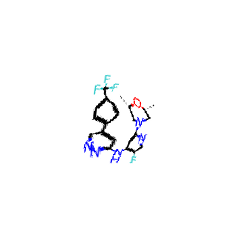 C[C@@H]1CN(c2cc(Nc3cc(-c4ccc(C(F)(F)F)cc4)cnn3)c(F)cn2)C[C@H](C)O1